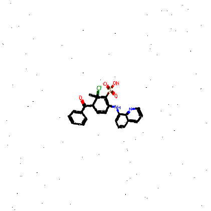 CC1(Cl)C(S(=O)(=O)O)=C(Nc2cccc3cccnc23)C=CC1C(=O)c1ccccc1